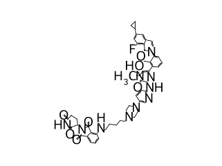 Cn1cc(-c2cccc(-n3ccc4cc(C5CC5)cc(F)c4c3=O)c2CO)nc(Nc2ccc(N3CCN(CCCCCNc4cccc5c4C(=O)N(C4CCC(=O)NC4=O)C5=O)CC3)cn2)c1=O